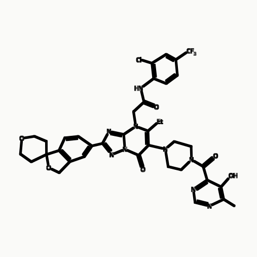 CCc1c(N2CCN(C(=O)c3ncnc(C)c3O)CC2)c(=O)n2nc(-c3ccc4c(c3)COC43CCOCC3)nc2n1CC(=O)Nc1ccc(C(F)(F)F)cc1Cl